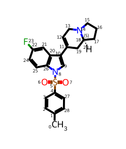 Cc1ccc(S(=O)(=O)n2cc(C3=CCN4CCC[C@H]4C3)c3cc(F)ccc32)cc1